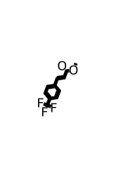 COC(=O)/C=C/c1ccc(C(F)(F)F)cc1